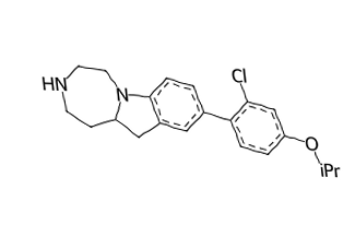 CC(C)Oc1ccc(-c2ccc3c(c2)CC2CCNCCN32)c(Cl)c1